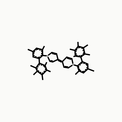 Cc1cc(C)c(N2C=CC(=C3C=CN(c4c(C)cc(C)cc4-c4c(C)c(C)c(C)c(C)c4C)C=C3)C=C2)c(-c2c(C)c(C)c(C)c(C)c2C)c1